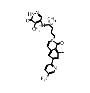 C[C@@H](CCCn1ccc2cc(-c3ccc(C(F)(F)F)cn3)cc(F)c2c1=O)Nc1cn[nH]c(=O)c1C(F)(F)F